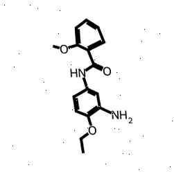 CCOc1ccc(NC(=O)c2ccccc2OC)cc1N